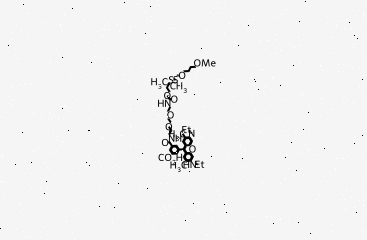 CC/N=c1/cc2oc3cc(NCC)c(C)cc3c(-c3cc(C(=O)NCCOCCOCCNC(=O)OCCC(C)(C)SSCOCCCCOC)ccc3C(=O)O)c-2cc1C